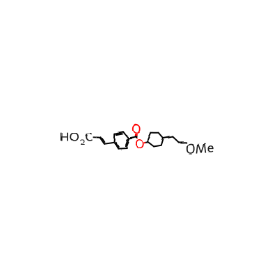 COCCCC1CCC(OC(=O)c2ccc(C=CC(=O)O)cc2)CC1